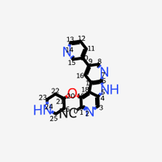 N#Cc1ncc2[nH]c3ncc(-c4cccnc4)cc3c2c1OC1CCNCC1